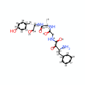 C[C@H](NC(=O)CNC(=O)C(=O)[C@@H](N)Cc1ccccc1)C(=O)N[C@H](C=O)Cc1ccc(O)cc1